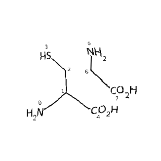 NC(CS)C(=O)O.NCC(=O)O